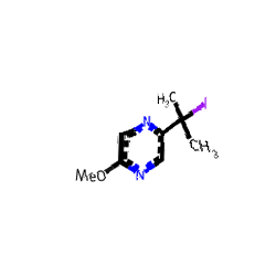 COc1cnc(C(C)(C)I)cn1